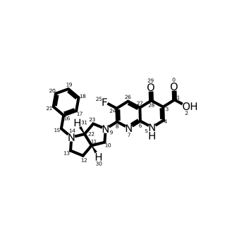 O=C(O)c1c[nH]c2nc(N3C[C@@H]4CCN(Cc5ccccc5)[C@@H]4C3)c(F)cc2c1=O